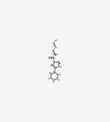 C/C=C/C=N/Nc1nc(-c2ccccc2)cs1